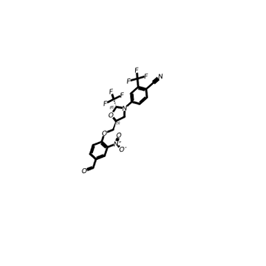 N#Cc1ccc(N2C[C@@H](COc3ccc(C=O)cc3[N+](=O)[O-])O[C@@H]2C(F)(F)F)cc1C(F)(F)F